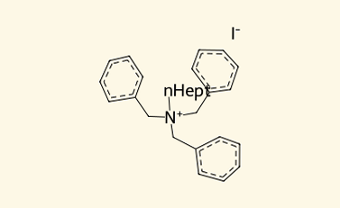 CCCCCCC[N+](Cc1ccccc1)(Cc1ccccc1)Cc1ccccc1.[I-]